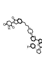 O=C1CCC(N2Cc3cc(CCCN4CCN(c5cccc(-c6cnc7ccc(N8CCC[C@@H]8c8cccc(F)c8)nn67)n5)CC4)ccc3C2=O)C(=O)N1